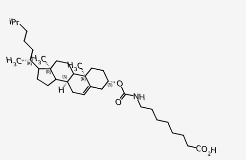 CC(C)CCC[C@@H](C)C1CCC2[C@@H]3CC=C4C[C@@H](OC(=O)NCCCCCCCC(=O)O)CC[C@]4(C)C3CC[C@@]21C